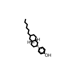 CCCCCCC1CC[C@@H]2C[C@H](c3ccc(O)cc3)CC[C@@H]2C1